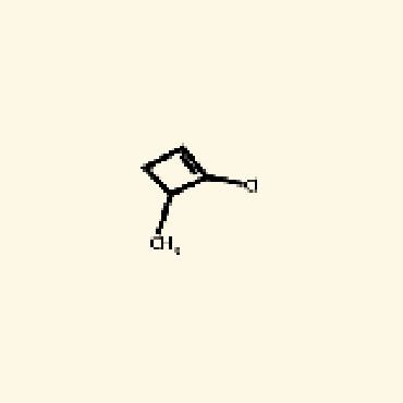 CC1CC=C1Cl